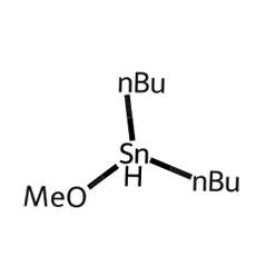 CCC[CH2][SnH]([CH2]CCC)[O]C